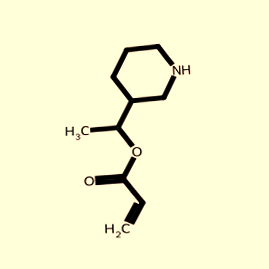 C=CC(=O)OC(C)C1CCCNC1